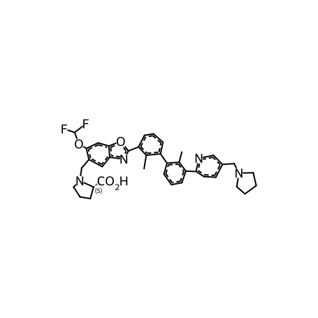 Cc1c(-c2ccc(CN3CCCC3)cn2)cccc1-c1cccc(-c2nc3cc(CN4CCC[C@H]4C(=O)O)c(OC(F)F)cc3o2)c1C